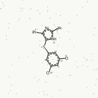 C[C](C)c1nc(C(C)C)c(Sc2cc(Cl)cc(Cl)c2)[nH]1